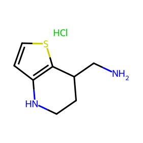 Cl.NCC1CCNc2ccsc21